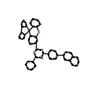 c1ccc(-c2nc(-c3ccc(-c4ccc5ccccc5c4)cc3)nc(-c3ccc4c(c3)Oc3ccccc3C43c4ccccc4-c4ccccc43)n2)cc1